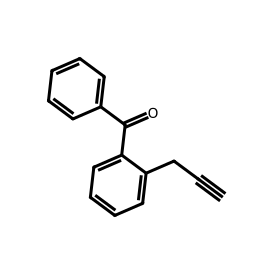 C#CCc1ccccc1C(=O)c1ccccc1